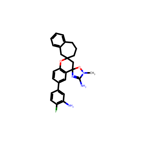 CN1OC2(CC3(CCCc4ccccc4C3)Oc3ccc(-c4ccc(F)c(N)c4)cc32)N=C1N